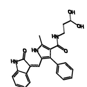 Cc1[nH]c(C=C2C(=O)Nc3ccccc32)c(-c2ccccc2)c1C(=O)NCCC(O)O